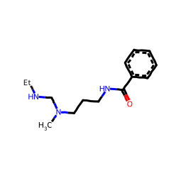 CCNCN(C)CCCNC(=O)c1ccccc1